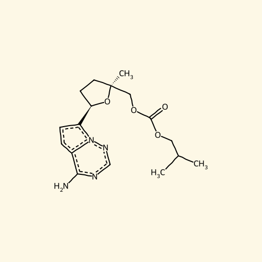 CC(C)COC(=O)OC[C@]1(C)CC[C@H](c2ccc3c(N)ncnn23)O1